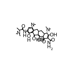 CC(C(=O)Nc1cc(N(C)C)c2c(c1O)C(=O)C1=C(O)[C@]3(O)C(=O)C(C(N)=O)=C(O)[C@@H](N(C)C)C3CC1C2)N(C)C